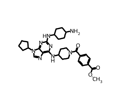 COC(=O)c1ccc(C(=O)N2CCC(Nc3nc(NC4CCC(N)CC4)nc4c3ncn4C3CCCC3)CC2)cc1